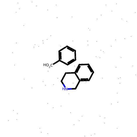 O=C(O)c1ccccc1.c1ccc2c(c1)CCNC2